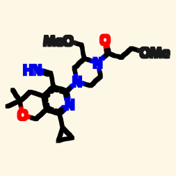 COCCC(=O)N1CCN(c2nc(C3CC3)c3c(c2C=N)CC(C)(C)OC3)CC1COC